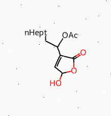 CCCCCCCCC(OC(C)=O)C1=CC(O)OC1=O